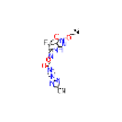 C[C@@H](/C=N/OCC(=O)N1CCN(c2ncc(C#N)cn2)CC1)Nc1cnn(COCC[Si](C)(C)C)c(=O)c1C(F)(F)F